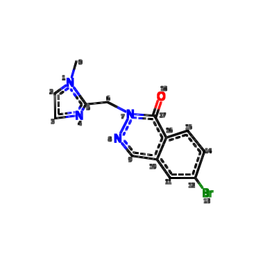 Cn1ccnc1Cn1ncc2cc(Br)ccc2c1=O